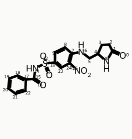 O=C1CCC(CNc2ccc(S(=O)(=O)NC(=O)c3ccccc3)cc2[N+](=O)[O-])N1